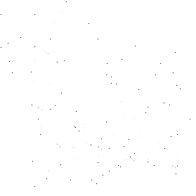 CC1(C)CN(CC(=O)N2CCC(C(=O)NCCO)CC2)[C@H](C(=O)Nc2cc(Cl)cc3c2[nH]c2cnccc23)CO1